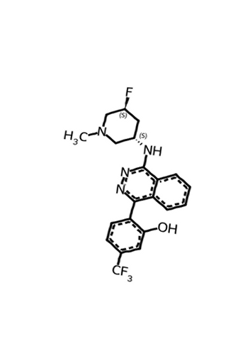 CN1C[C@@H](F)C[C@H](Nc2nnc(-c3ccc(C(F)(F)F)cc3O)c3ccccc23)C1